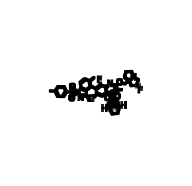 Cc1ccc(S(=O)(=O)n2nc(C)c3c(-c4c(Cl)cc5c(N6C[C@H]7CC[C@@H](C6)N7C(=O)OC(C)(C)C)nc(OC[C@@]67CCCN6C[C@H](F)C7)nc5c4F)c(C)ccc32)cc1